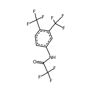 O=C(Nc1ccc(C(F)(F)F)c(C(F)(F)F)c1)C(F)(F)F